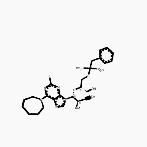 C#C[C@@H](O)[C@@H](O[C@@H](CO)COC(Cc1ccccc1)(C(=O)O)C(=O)O)n1cnc2c(N3CCCCCC3)nc(Cl)nc21